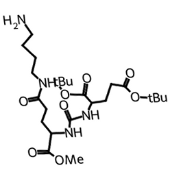 COC(=O)C(CCC(=O)NCCCCN)NC(=O)NC(CCC(=O)OC(C)(C)C)C(=O)OC(C)(C)C